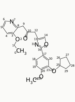 CCOc1cccnc1CC(=O)Cc1coc(-c2ccc(OC)c(OC3CCCC3)c2)n1